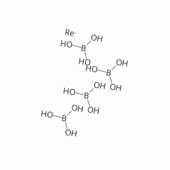 OB(O)O.OB(O)O.OB(O)O.OB(O)O.[Re]